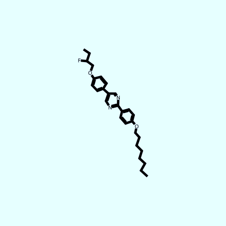 CCCCCCCCOc1ccc(-c2ncc(-c3ccc(OCC(F)CC)cc3)cn2)cc1